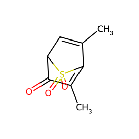 CC1=CC2C(=O)C(C)=C1S2(=O)=O